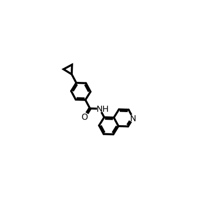 O=C(Nc1cccc2cnccc12)c1ccc(C2CC2)cc1